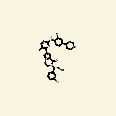 Cc1cnc(Nc2ccc(C3CCNCC3)cc2Cl)nc1-c1cc2n(c1)CCN([C@H](CO)c1cccc(Cl)c1)C2=O